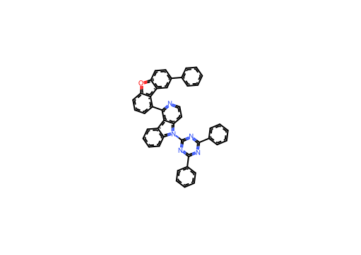 c1ccc(-c2ccc3oc4cccc(-c5nccc6c5c5ccccc5n6-c5nc(-c6ccccc6)nc(-c6ccccc6)n5)c4c3c2)cc1